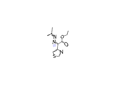 CCOC(=O)/C(=N\N=C(C)C)c1cscn1